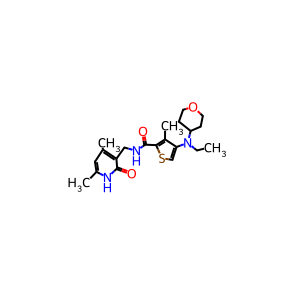 CCN(c1csc(C(=O)NCc2c(C)cc(C)[nH]c2=O)c1C)C1CCOCC1